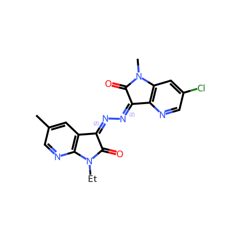 CCN1C(=O)/C(=N\N=C2/C(=O)N(C)c3cc(Cl)cnc32)c2cc(C)cnc21